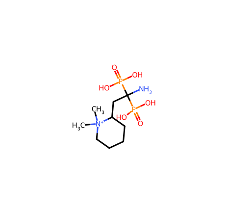 C[N+]1(C)CCCCC1CC(N)(P(=O)(O)O)P(=O)(O)O